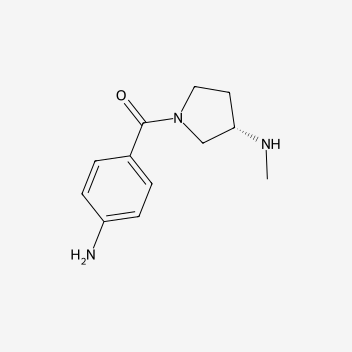 CN[C@H]1CCN(C(=O)c2ccc(N)cc2)C1